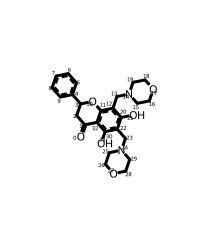 O=C1CC(c2ccccc2)Oc2c(CN3CCOCC3)c(O)c(CN3CCOCC3)c(O)c21